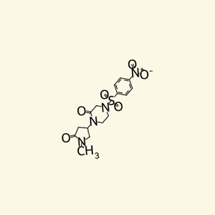 CN1CC(N2CCN(S(=O)(=O)c3ccc([N+](=O)[O-])cc3)CC2=O)CC1=O